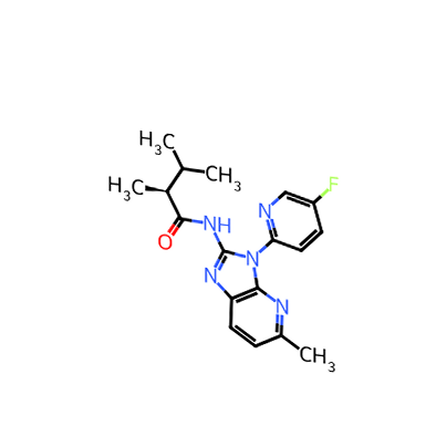 Cc1ccc2nc(NC(=O)[C@@H](C)C(C)C)n(-c3ccc(F)cn3)c2n1